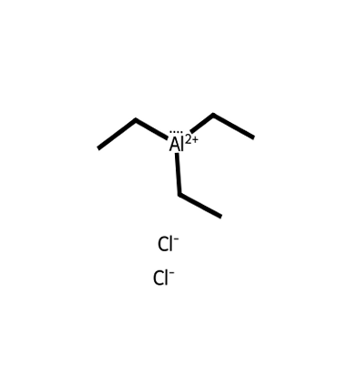 C[CH2][Al+2]([CH2]C)[CH2]C.[Cl-].[Cl-]